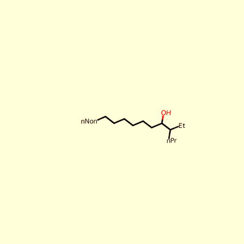 CCCCCCCCCCCCCCCC(O)C(CC)CCC